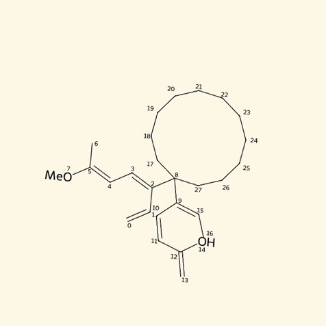 C=C/C(=C\C=C(/C)OC)C1(C(/C=C\C(=C)O)=C/C)CCCCCCCCCCC1